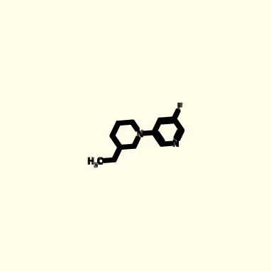 CCC1CCCN(c2cncc(F)c2)C1